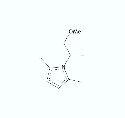 COCC(C)n1c(C)ccc1C